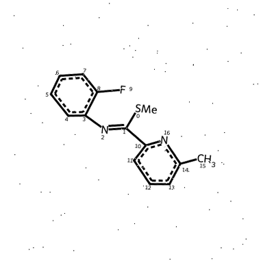 CSC(=Nc1ccccc1F)c1cccc(C)n1